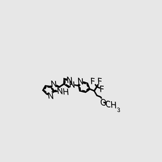 COCCC(c1ccc(-n2cc(-c3nc4cccnc4[nH]3)cn2)nc1)C(F)(F)F